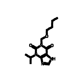 CCCCOCn1c(=O)c2[nH]cnc2n(C(C)C)c1=O